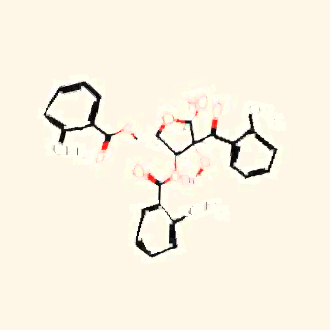 Cc1ccccc1C(=O)OC[C@@H]1O[C@@H](O)[C@@](OBr)(C(=O)c2ccccc2C)[C@H]1OC(=O)c1ccccc1C